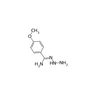 COc1ccc(/C(N)=N/NN)cc1